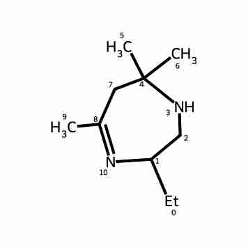 CCC1CNC(C)(C)CC(C)=N1